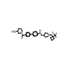 O=C(c1ccc(-c2ccc(NCC3CCN(CC4(C(F)(F)F)CCC4)CC3)cc2)cc1)N1CCCC(O)C1